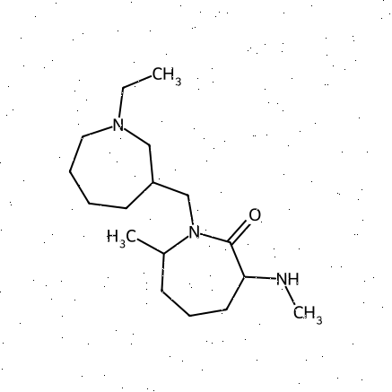 CCN1CCCCC(CN2C(=O)C(NC)CCCC2C)C1